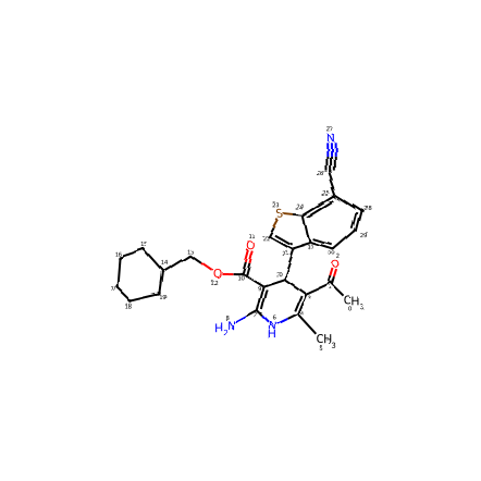 CC(=O)C1=C(C)NC(N)=C(C(=O)OCC2CCCCC2)C1c1csc2c(C#N)cccc12